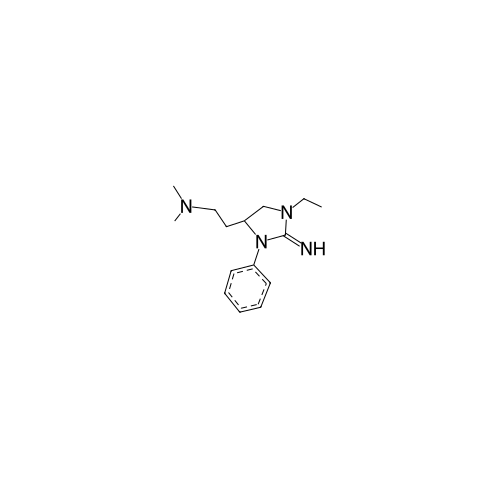 CCN1CC(CCN(C)C)N(c2ccccc2)C1=N